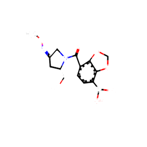 CON=C1C[C@@H](CO)N(C(=O)c2ccc(B(O)O)c3c2OCO3)C1